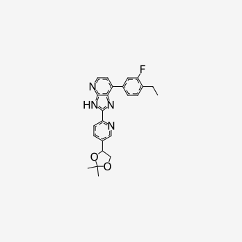 CCc1ccc(-c2ccnc3[nH]c(-c4ccc(C5COC(C)(C)O5)cn4)nc23)cc1F